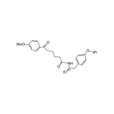 CC[C@H](Cc1ccc(OC(C)C)cc1)NC(=O)CCCCC(=O)c1ccc(OC)cc1